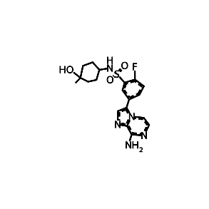 CC1(O)CCC(NS(=O)(=O)c2cc(-c3cnc4c(N)nccn34)ccc2F)CC1